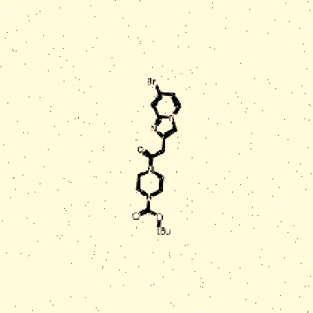 CC(C)(C)OC(=O)N1CCN(C(=O)Cc2cn3ccc(Br)cc3n2)CC1